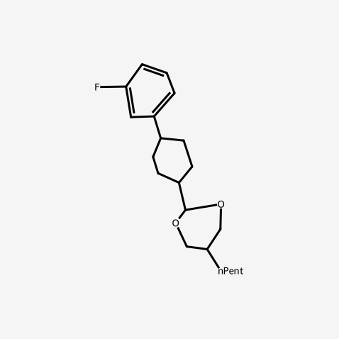 CCCCCC1COC(C2CCC(c3cccc(F)c3)CC2)OC1